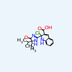 CC(C)C1(C)NC(C2(Cl)Nc3ccccc3C=C2C(=O)O)=NC1=O